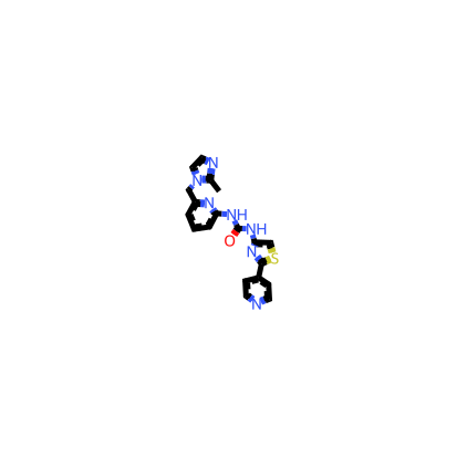 Cc1nccn1Cc1cccc(NC(=O)Nc2csc(-c3ccncc3)n2)n1